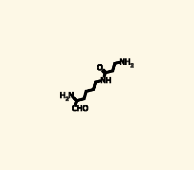 NCCC(=O)NCCCCC(N)C=O